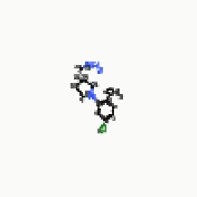 Cc1ccc(Cl)cc1N1CC[C@H](CN)C1